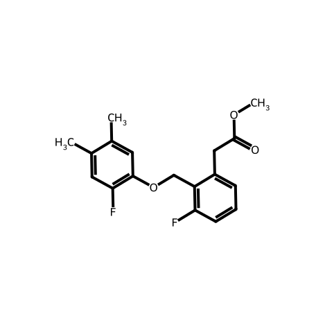 COC(=O)Cc1cccc(F)c1COc1cc(C)c(C)cc1F